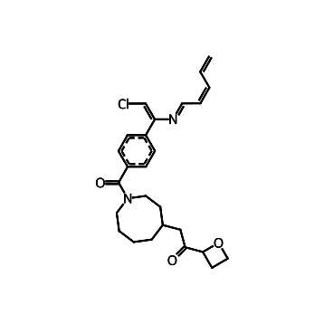 C=C\C=C/C=N/C(=C/Cl)c1ccc(C(=O)N2CCCCC(CC(=O)C3CCO3)CC2)cc1